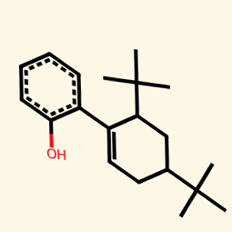 CC(C)(C)C1CC=C(c2ccccc2O)C(C(C)(C)C)C1